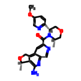 C[C@@H]1OCc2c1c(N)nc1cnc(C(=O)N3[C@@H](C)COC[C@H]3c3ccc(OC(F)(F)F)cn3)cc21